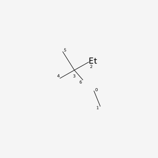 CC.CCC(C)(C)C